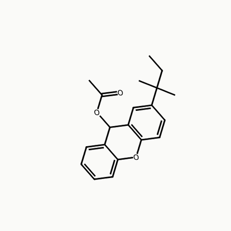 CCC(C)(C)c1ccc2c(c1)C(OC(C)=O)c1ccccc1O2